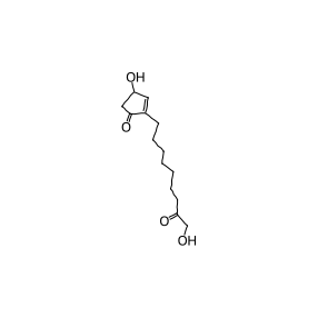 O=C(CO)CCCCCCCC1=CC(O)CC1=O